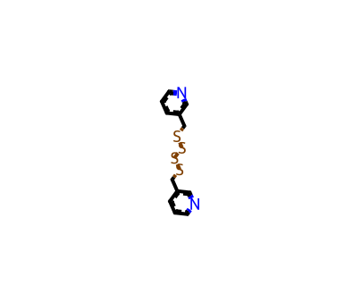 c1cncc(CSSSSCc2cccnc2)c1